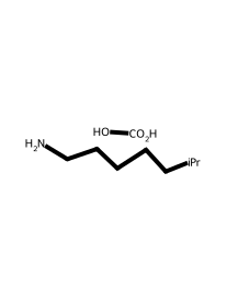 CC(C)CCCCCN.O=C(O)O